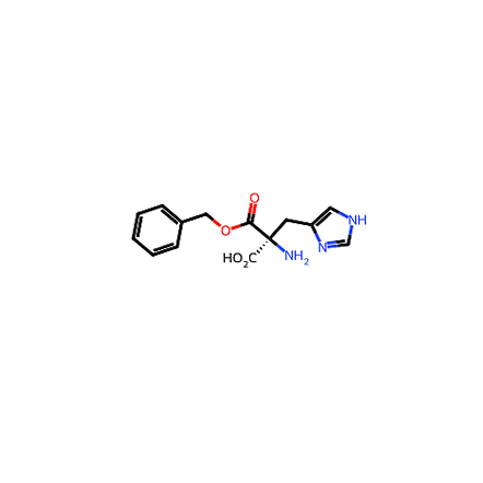 N[C@@](Cc1c[nH]cn1)(C(=O)O)C(=O)OCc1ccccc1